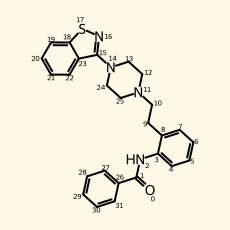 O=C(Nc1ccccc1CCN1CCN(c2nsc3ccccc23)CC1)c1ccccc1